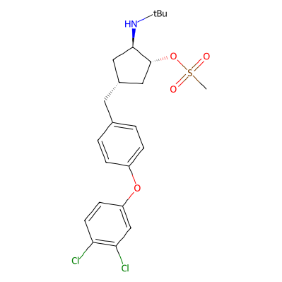 CC(C)(C)N[C@@H]1C[C@@H](Cc2ccc(Oc3ccc(Cl)c(Cl)c3)cc2)C[C@H]1OS(C)(=O)=O